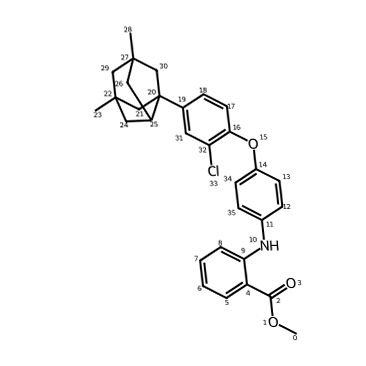 COC(=O)c1ccccc1Nc1ccc(Oc2ccc(C34CC5(C)CC3CC(C)(C5)C4)cc2Cl)cc1